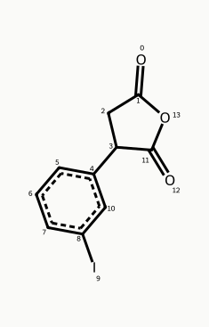 O=C1CC(c2cccc(I)c2)C(=O)O1